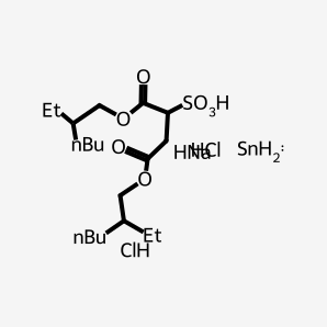 CCCCC(CC)COC(=O)CC(C(=O)OCC(CC)CCCC)S(=O)(=O)O.Cl.Cl.[NaH].[SnH2]